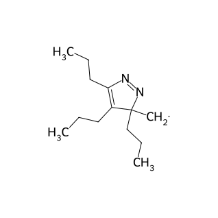 [CH2]C1(CCC)N=NC(CCC)=C1CCC